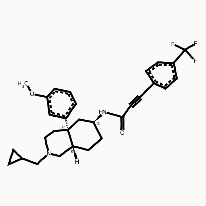 COc1cccc([C@@]23CCN(CC4CC4)C[C@H]2CC[C@H](NC(=O)C#Cc2ccc(C(F)(F)F)cc2)C3)c1